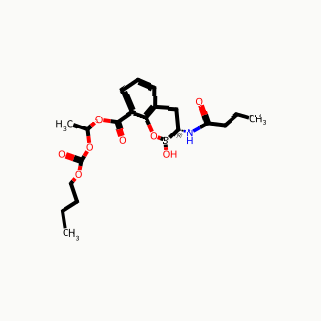 CCCCOC(=O)OC(C)OC(=O)c1cccc2c1OB(O)[C@@H](NC(=O)CCC)C2